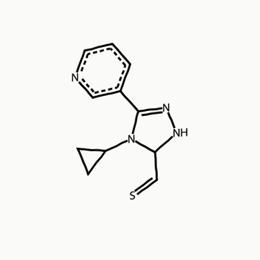 S=CC1NN=C(c2cccnc2)N1C1CC1